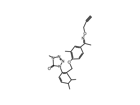 C#CCON=C(C)c1ccc(OCC2=C(n3nnn(C)c3=O)C=CC(C)C2C)c(C)c1